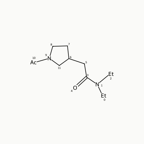 CCN(CC)C(=O)CC1CCN(C(C)=O)C1